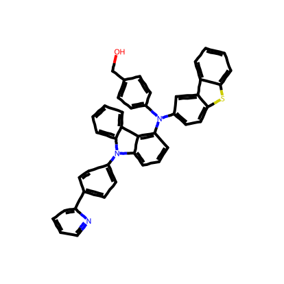 OCc1ccc(N(c2ccc3sc4ccccc4c3c2)c2cccc3c2c2ccccc2n3-c2ccc(-c3ccccn3)cc2)cc1